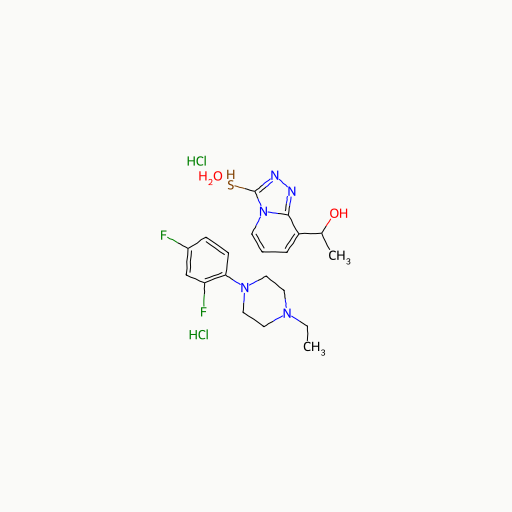 CC(O)c1cccn2c(S)nnc12.CCN1CCN(c2ccc(F)cc2F)CC1.Cl.Cl.O